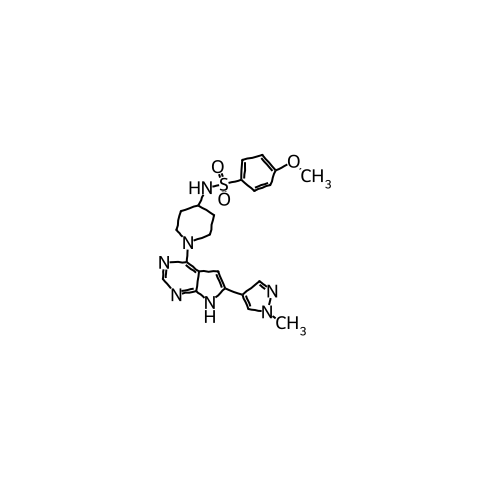 COc1ccc(S(=O)(=O)NC2CCN(c3ncnc4[nH]c(-c5cnn(C)c5)cc34)CC2)cc1